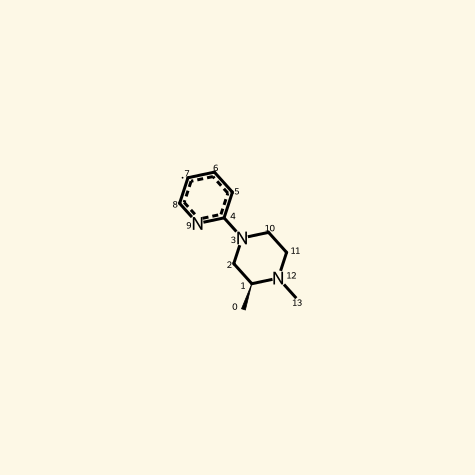 C[C@H]1CN(c2cc[c]cn2)CCN1C